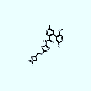 COc1cnc(Cl)cc1-c1cc(C)ncc1C(=O)Nc1nnc(OCC2CS(=O)(=O)C2)s1